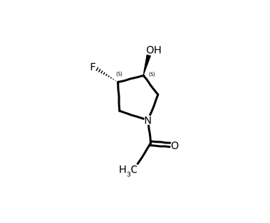 CC(=O)N1C[C@H](O)[C@@H](F)C1